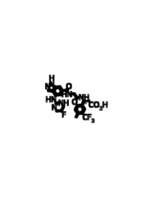 Cc1ccc([C@H](CC(=O)O)NC(=O)CNC(=O)c2cc(NC3=NCC(F)CN3)c3cn[nH]c3c2)cc1C(F)(F)F